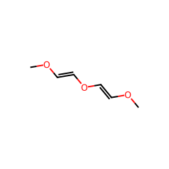 COC=COC=COC